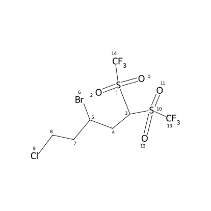 O=S(=O)(C(CC(Br)CCCl)S(=O)(=O)C(F)(F)F)C(F)(F)F